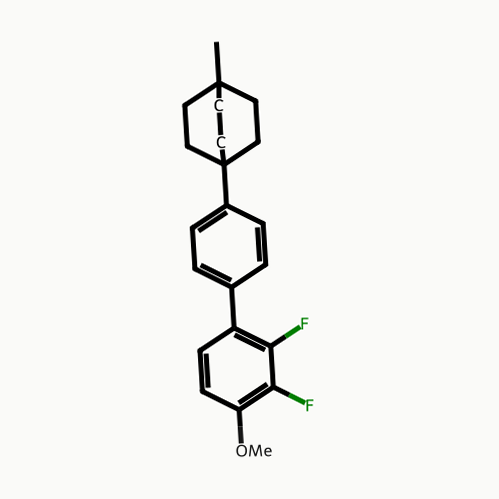 COc1ccc(-c2ccc(C34CCC(C)(CC3)CC4)cc2)c(F)c1F